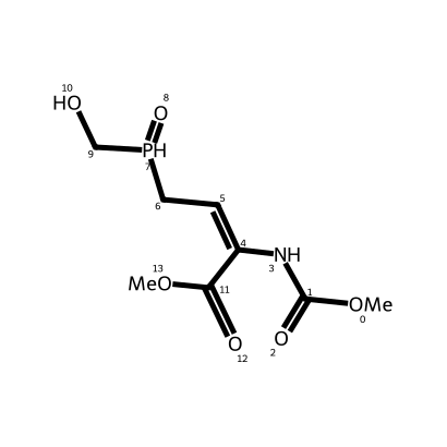 COC(=O)NC(=CC[PH](=O)CO)C(=O)OC